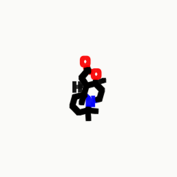 CC1(C)CCCC2(C)[C@H]3CC(=O)O[C@]3(C)CCN12